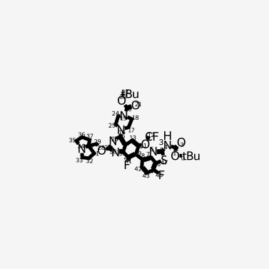 CC(C)(C)OC(=O)Nc1nc2c(-c3c(OC(F)(F)F)cc4c(N5CCN(C(=O)OC(C)(C)C)CC5)nc(OCC56CCCN5CCC6)nc4c3F)ccc(F)c2s1